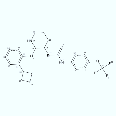 O=C(Nc1ccc(OC(F)(F)F)cc1)NC1CCCNC1Oc1ccccc1C1COC1